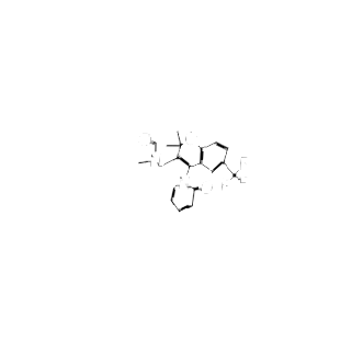 CN(C=O)CC1=C(n2ccccc2=O)c2cc(C(F)(F)F)ccc2OC1(C)C